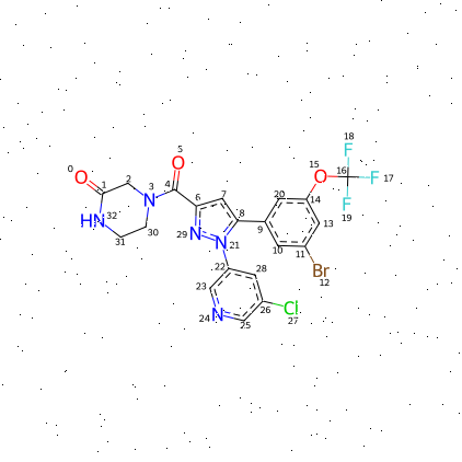 O=C1CN(C(=O)c2cc(-c3cc(Br)cc(OC(F)(F)F)c3)n(-c3cncc(Cl)c3)n2)CCN1